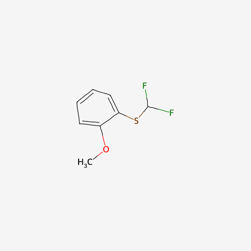 COc1ccccc1SC(F)F